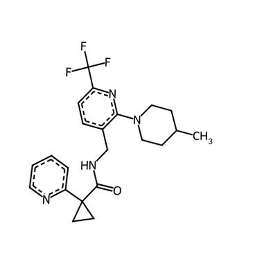 CC1CCN(c2nc(C(F)(F)F)ccc2CNC(=O)C2(c3ccccn3)CC2)CC1